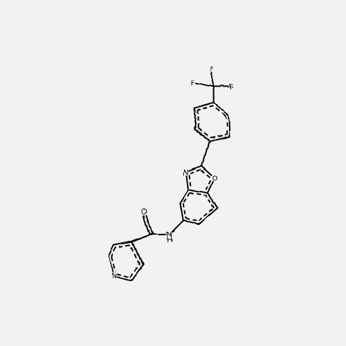 O=C(Nc1ccc2oc(-c3ccc(C(F)(F)F)cc3)nc2c1)c1ccncc1